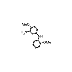 COc1ccc(Nc2cc[c]cc2OC)cc1N